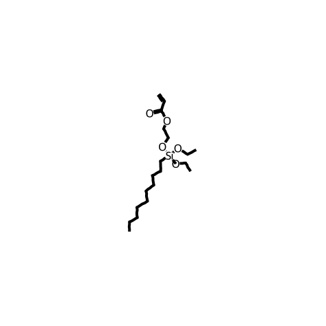 C=CC(=O)OCCO[Si](CCCCCCCCCC)(OCC)OCC